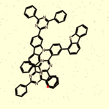 c1ccc(-c2nc(-c3ccccc3)nc(-c3ccc4c5ccc(-c6nc(-c7ccccc7)nc(-c7ccccc7)n6)cc5n(-c5ccc(-c6cccc7c6sc6ccccc67)cc5-c5nc(-c6ccccc6)nc(-c6ccccc6)n5)c4c3)n2)cc1